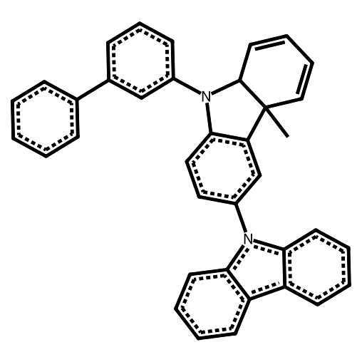 CC12C=CC=CC1N(c1cccc(-c3ccccc3)c1)c1ccc(-n3c4ccccc4c4ccccc43)cc12